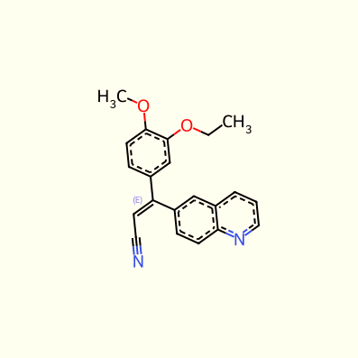 CCOc1cc(/C(=C/C#N)c2ccc3ncccc3c2)ccc1OC